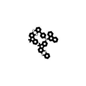 CC1(C)c2ccccc2-c2c1ccc1c2Oc2c(cccc2-c2ccc(N(c3ccc4c(c3)C(C)(C)c3ccc5c(c3-4)Sc3ccccc3S5)c3cc4ccccc4c4ccccc34)cc2)O1